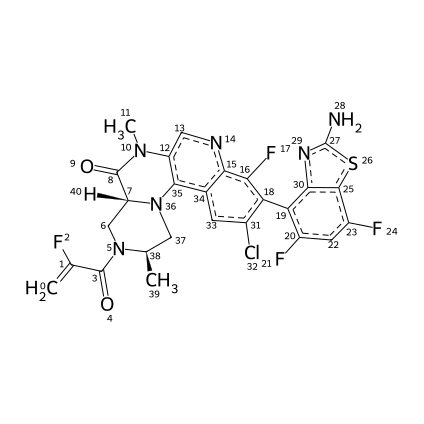 C=C(F)C(=O)N1C[C@@H]2C(=O)N(C)c3cnc4c(F)c(-c5c(F)cc(F)c6sc(N)nc56)c(Cl)cc4c3N2C[C@H]1C